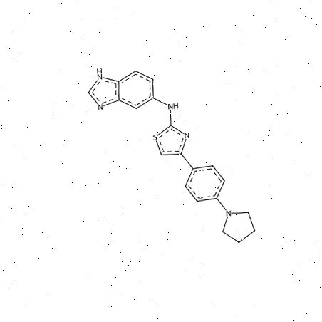 c1nc2cc(Nc3nc(-c4ccc(N5CCCC5)cc4)cs3)ccc2[nH]1